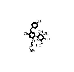 CCCOCCOc1cc(Cl)c(Cc2ccc(CC)cc2)cc1[C@@H]1O[C@H](CO)[C@@H](O)[C@H](O)[C@H]1O